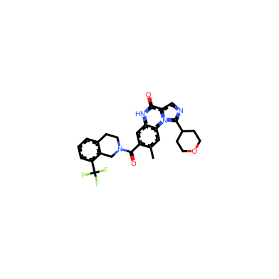 Cc1cc2c(cc1C(=O)N1CCc3cccc(C(F)(F)F)c3C1)[nH]c(=O)c1cnc(C3CCOCC3)n12